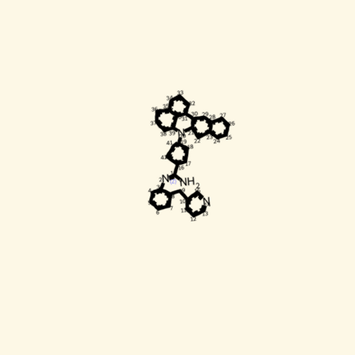 N/C(=N\c1ccccc1Cc1cccnc1)c1ccc(N2c3cc4ccccc4cc3-c3cccc4cccc2c34)cc1